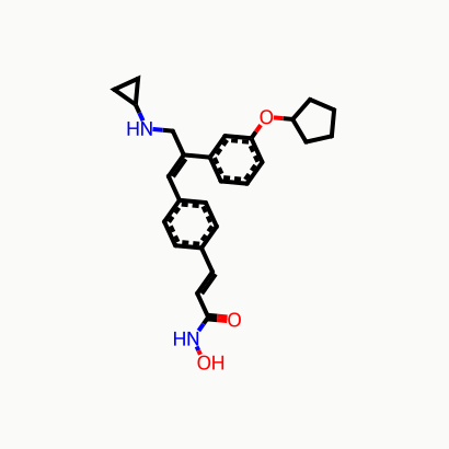 O=C(C=Cc1ccc(/C=C(/CNC2CC2)c2cccc(OC3CCCC3)c2)cc1)NO